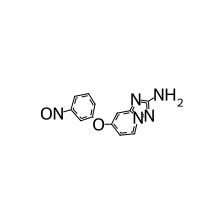 Nc1nc2cc(Oc3cccc(N=O)c3)ccn2n1